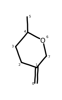 C=C1CCC(C)OC1